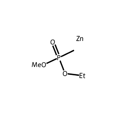 CCOP(C)(=O)OC.[Zn]